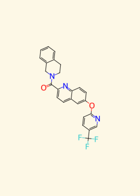 O=C(c1ccc2cc(Oc3ccc(C(F)(F)F)cn3)ccc2n1)N1CCc2ccccc2C1